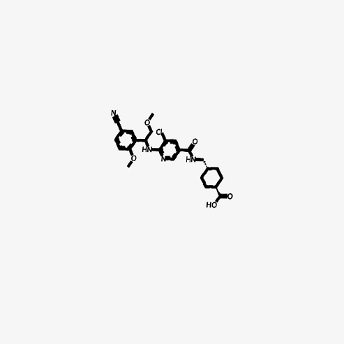 COCC(Nc1ncc(C(=O)NC[C@H]2CC[C@H](C(=O)O)CC2)cc1Cl)c1cc(C#N)ccc1OC